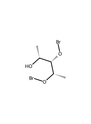 C[C@H](OBr)[C@@H](OBr)[C@@H](C)O